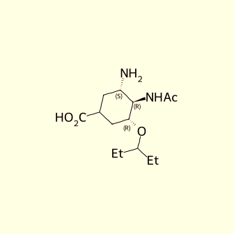 CCC(CC)O[C@@H]1CC(C(=O)O)C[C@H](N)[C@H]1NC(C)=O